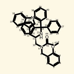 COc1ccccc1CN(C[C@@H](Cc1c[nH]c2ccccc12)NC(c1ccccc1)(c1ccccc1)c1ccccc1)C(C)=O